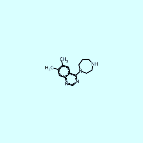 Cc1cc2ncnc(N3CCCNCC3)c2cc1C